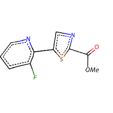 COC(=O)c1ncc(-c2ncccc2F)s1